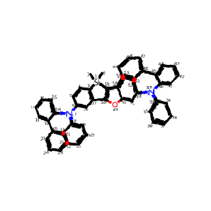 C[Si]1(C)c2ccc(N(c3ccccc3)c3ccccc3-c3ccccc3)cc2-c2oc3cc(N(c4ccccc4)c4ccccc4-c4ccccc4)ccc3c21